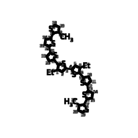 CCc1cc(-c2cc(CC)c(-c3ccc(-c4ccc(-c5sccc5C)s4)s3)s2)sc1-c1ccc(-c2ccc(-c3sccc3C)s2)s1